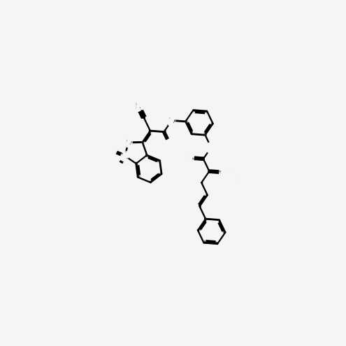 C=C(CC=Cc1ccccc1)C(=O)Oc1cccc(NC(=O)C(C#N)=C2NS(=O)(=O)c3ccccc32)c1